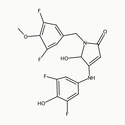 COc1c(F)cc(CN2C(=O)C=C(Nc3cc(F)c(O)c(F)c3)C2O)cc1F